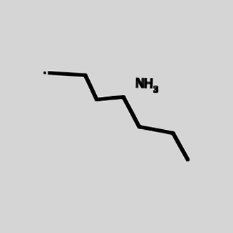 N.[CH2]CCCCCC